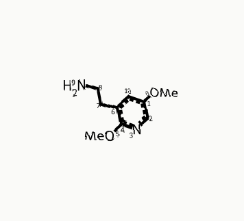 COc1cnc(OC)c(CCN)c1